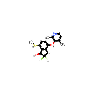 N#Cc1nccc(C(F)(F)F)c1Oc1ccc(SC(F)(F)F)c2c1CC(F)(F)C2=O